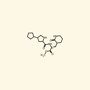 COC(=O)[C@H](CC1CCCNC1=O)NC(=O)C1CC(C2CCCC2)CN1